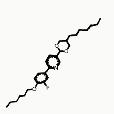 CCCCCCCC1COC(c2ccc(-c3ccc(OCCCCCC)c(F)c3)nc2)OC1